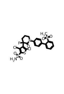 CS(=O)(=O)c1ccccc1-c1ccc(N2CCCC(F)(c3c(Cl)sc(S(N)(=O)=O)c3Cl)C2=O)cc1